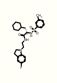 Cc1cccc(S(=O)(=O)N[C@@H](CC2CCCCC2)C(=O)NCCN2CCc3cc(F)ccc32)c1